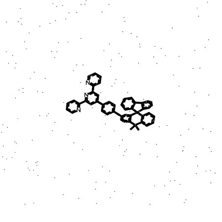 CC1(C)c2ccccc2C2(c3ccccc3-c3ccccc32)c2cc(-c3ccc(-c4cc(-c5ccccn5)nc(-c5ccccn5)c4)cc3)ccc21